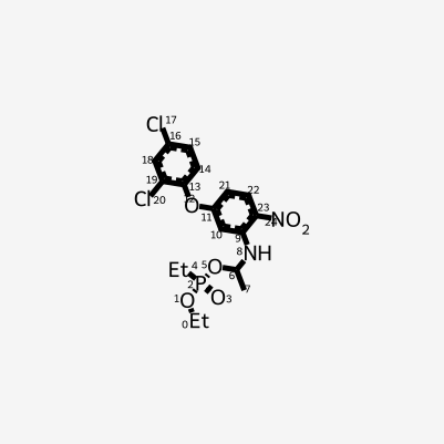 CCOP(=O)(CC)OC(C)Nc1cc(Oc2ccc(Cl)cc2Cl)ccc1[N+](=O)[O-]